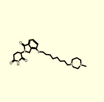 CN1CCCN(CCCCCCCCSc2cccc3c2CN(C2CCC(=O)NC2=O)C3=O)CC1